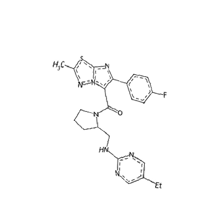 CCc1cnc(NCC2CCCN2C(=O)c2c(-c3ccc(F)cc3)nc3sc(C)nn23)nc1